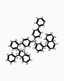 c1ccc(-c2ccc(N(c3ccc(-c4ccccc4-c4oc5ccccc5c4-c4ccccc4)cc3)c3cccc(-c4cccc5ccccc45)c3)cc2)cc1